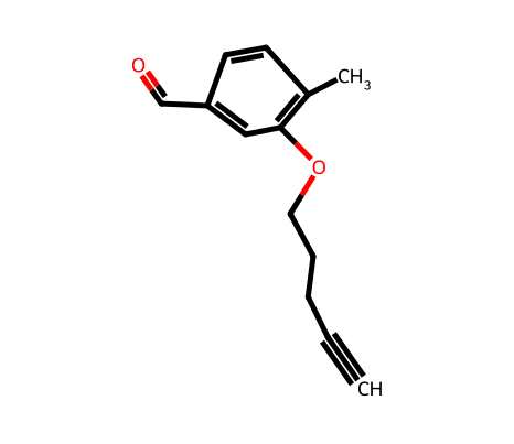 C#CCCCOc1cc(C=O)ccc1C